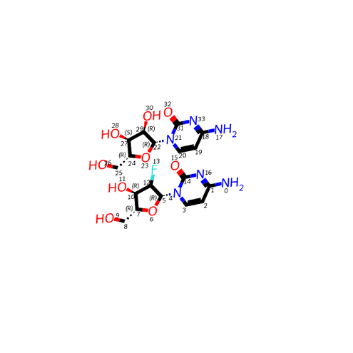 Nc1ccn([C@@H]2O[C@H](CO)[C@@H](O)C2F)c(=O)n1.Nc1ccn([C@@H]2O[C@H](CO)[C@@H](O)[C@H]2O)c(=O)n1